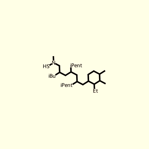 CCCC(C)C(CC(CC1CCC(C)C(C)C1CC)C(C)CCC)CC(CN(C)S)C(C)CC